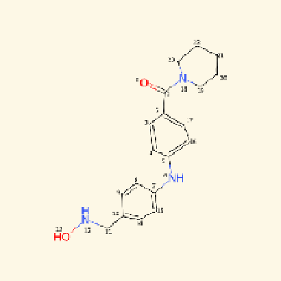 O=C(c1ccc(Nc2ccc(CNO)cc2)cc1)N1CCCCC1